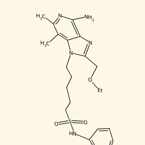 CCOCc1nc2c(N)nc(C)c(C)c2n1CCCCCS(=O)(=O)Nc1ccccc1